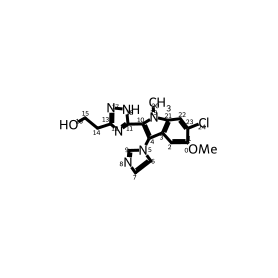 COc1cc2c(-n3ccnc3)c(-c3nc(CCO)n[nH]3)n(C)c2cc1Cl